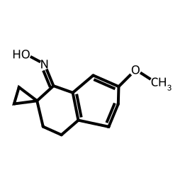 COc1ccc2c(c1)/C(=N/O)C1(CC2)CC1